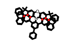 CC1(C)c2cc3c(cc2-c2c1ccc1ccccc21)N(c1c(-c2ccc(-c4ccccc4)cc2)cc(-c2ccccc2)cc1-c1ccc(-c2ccccc2)cc1)c1cc2c(cc1O3)C(C)(C)c1ccc3ccccc3c1-2